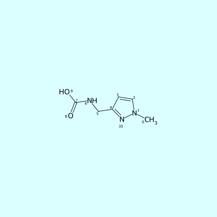 Cn1ccc(CNC(=O)O)n1